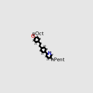 CCCCCCCCOc1ccc(CCc2ccc(-c3ccc(CCCCC)cn3)cc2)cc1